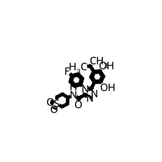 CC(C)c1cc(-c2nnc(C(=O)NC3CCS(=O)(=O)CC3)n2-c2ccc(F)cc2)c(O)cc1O